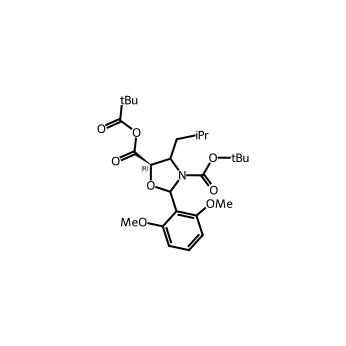 COc1cccc(OC)c1C1O[C@@H](C(=O)OC(=O)C(C)(C)C)C(CC(C)C)N1C(=O)OC(C)(C)C